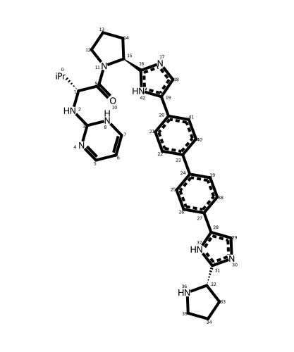 CC(C)[C@@H](NC1N=CC=CN1)C(=O)N1CCC[C@H]1c1ncc(-c2ccc(-c3ccc(-c4cnc([C@@H]5CCCN5)[nH]4)cc3)cc2)[nH]1